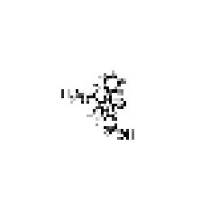 COC(=O)C(C)N(C(=O)C(N)CC(=O)O)c1ccccc1